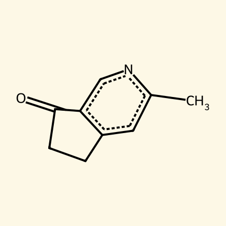 Cc1cc2c(cn1)C(=O)CC2